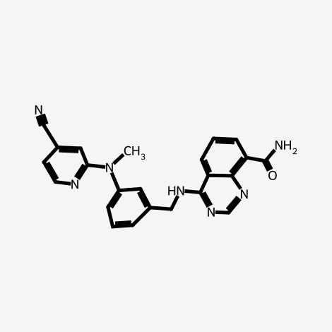 CN(c1cccc(CNc2ncnc3c(C(N)=O)cccc23)c1)c1cc(C#N)ccn1